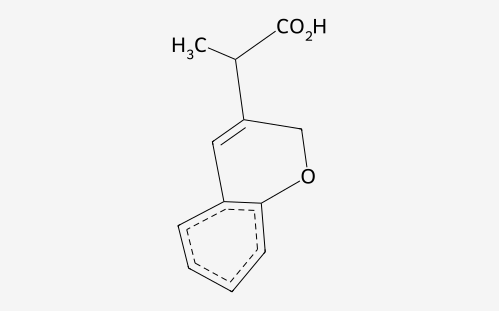 CC(C(=O)O)C1=Cc2ccccc2OC1